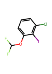 FC(F)Oc1cccc(Cl)c1I